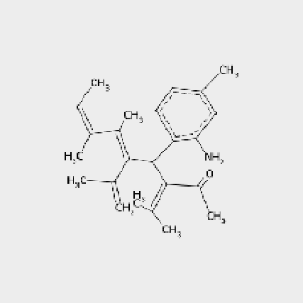 C=C(C)/C(=C(C)\C(C)=C/C)C(C(C(C)=O)=C(C)C)c1ccc(C)cc1N